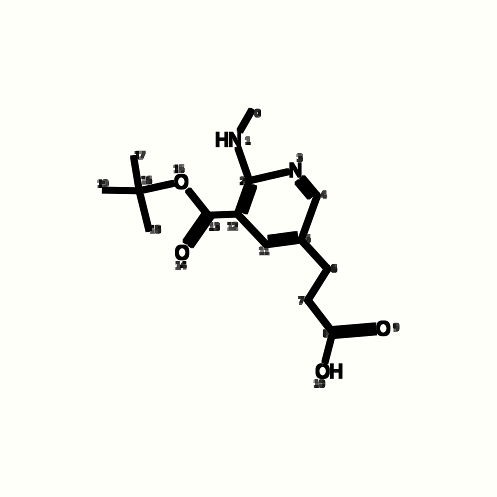 CNc1ncc(CCC(=O)O)cc1C(=O)OC(C)(C)C